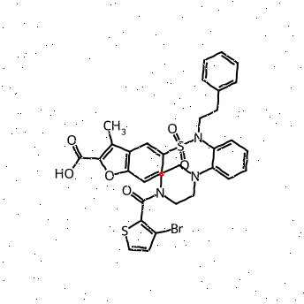 Cc1c(C(=O)O)oc2ccc(S(=O)(=O)N(CCc3ccccc3)c3ccccc3N3CCN(C(=O)c4sccc4Br)CC3)cc12